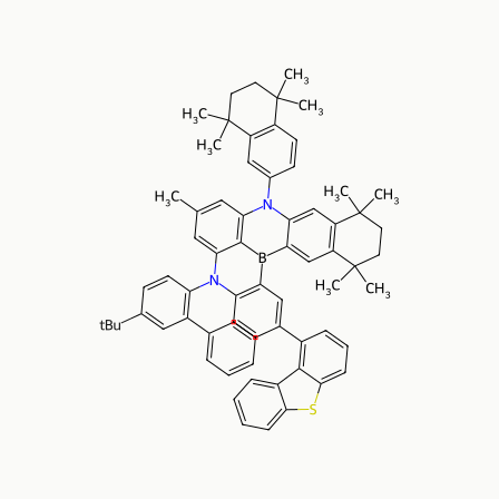 Cc1cc2c3c(c1)N(c1ccc(C(C)(C)C)cc1-c1ccccc1)c1ccc(-c4cccc5sc6ccccc6c45)cc1B3c1cc3c(cc1N2c1ccc2c(c1)C(C)(C)CCC2(C)C)C(C)(C)CCC3(C)C